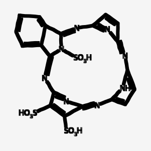 O=S(=O)(O)C1=C(S(=O)(=O)O)c2nc1nc1ccc(nc3nc(nc4c5ccccc5c(n2)n4S(=O)(=O)O)C=C3)[nH]1